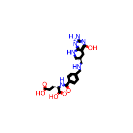 Nc1nc(O)c2c(n1)NC[C@H](CNCc1ccc(C(=O)N[C@@H](CCC(=O)O)C(=O)O)cc1)C2